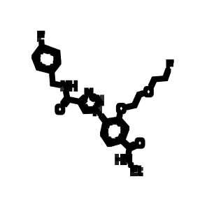 CCNC(=O)c1ccc(-n2cc(C(=O)NCc3ccc(F)cc3)nn2)c(OCCOCCF)c1